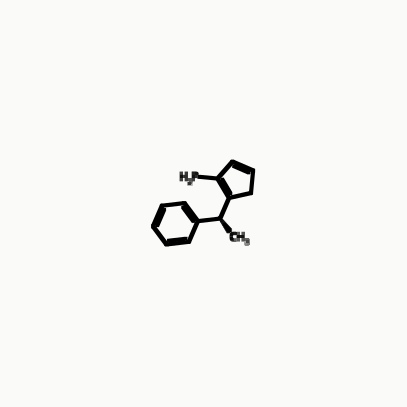 C[C@H](C1=C(P)C=CC1)c1ccccc1